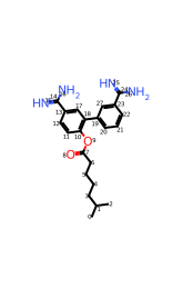 CC(C)CCCCC(=O)Oc1ccc(C(=N)N)cc1-c1cccc(C(=N)N)c1